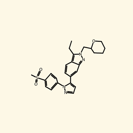 CCc1c2ccc(-c3ccnn3-c3ccc(S(C)(=O)=O)cc3)cc2nn1CC1CCCCO1